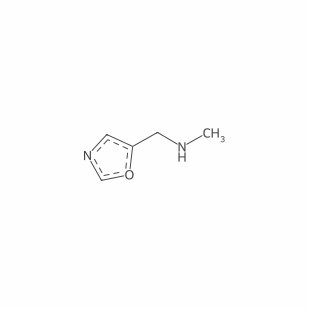 CNCc1cnco1